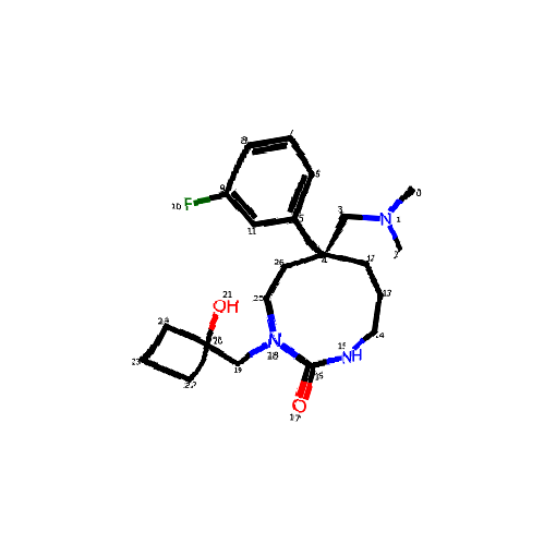 CN(C)C[C@@]1(c2cccc(F)c2)CCCNC(=O)N(CC2(O)CCC2)CC1